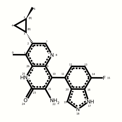 Cc1c([C@@H]2C[C@H]2C)cnc2c(-c3ccc(F)c4[nH]ncc34)c(N)c(=O)[nH]c12